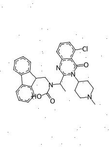 CC(c1nc2cccc(Cl)c2c(=O)n1C1CCN(C)CC1)N(CC1c2ccccc2-c2ccccc21)C(=O)O